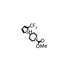 COC(=O)N1CCC([SH]2C=CC=C2C(F)(F)F)CC1